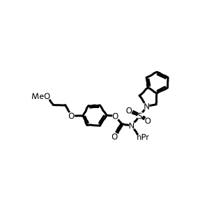 CCCN(C(=O)Oc1ccc(OCCOC)cc1)S(=O)(=O)N1Cc2ccccc2C1